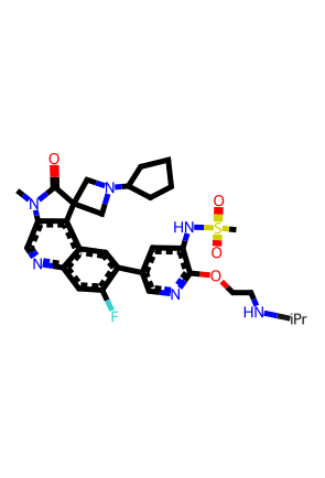 CC(C)NCCOc1ncc(-c2cc3c4c(cnc3cc2F)N(C)C(=O)C42CN(C3CCCC3)C2)cc1NS(C)(=O)=O